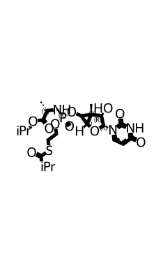 CC(C)OC(=O)[C@H](C)N[P@@](=O)(OCCSC(=O)C(C)C)OC1[C@H]2O[C@@H](n3ccc(=O)[nH]c3=O)[C@H](O)[C@@]12C